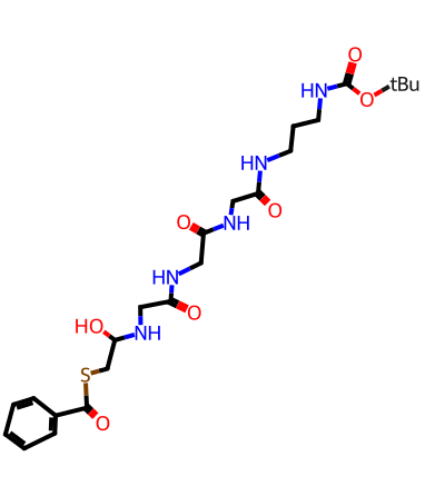 CC(C)(C)OC(=O)NCCCNC(=O)CNC(=O)CNC(=O)CNC(O)CSC(=O)c1ccccc1